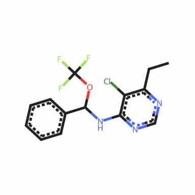 CCc1ncnc(NC(OC(F)(F)F)c2ccccc2)c1Cl